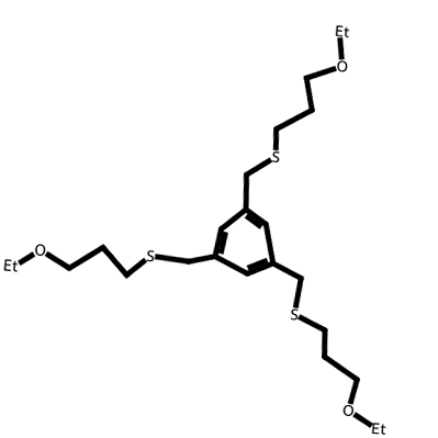 CCOCCCSCc1cc(CSCCCOCC)cc(CSCCCOCC)c1